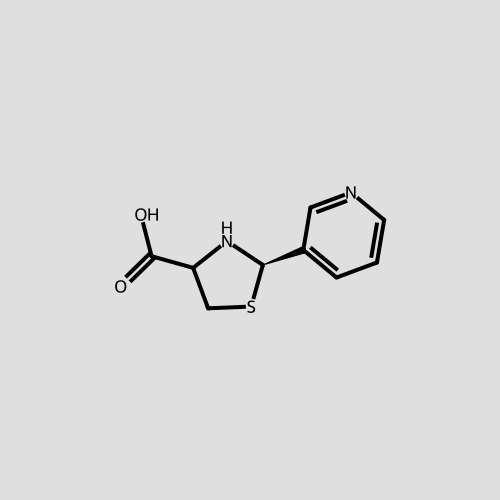 O=C(O)C1CS[C@H](c2cccnc2)N1